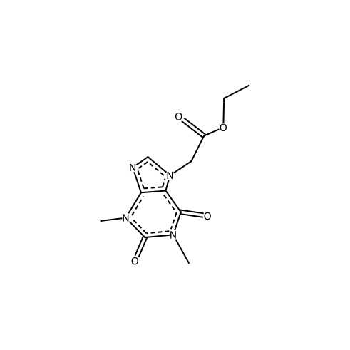 CCOC(=O)Cn1cnc2c1c(=O)n(C)c(=O)n2C